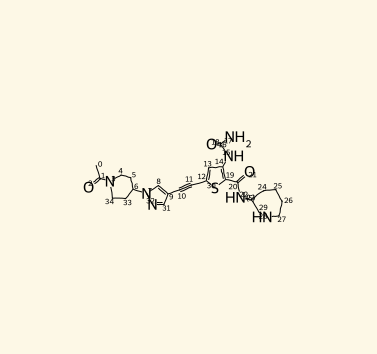 CC(=O)N1CCC(n2cc(C#Cc3cc(NC(N)=O)c(C(=O)N[C@H]4CCCCNC4)s3)cn2)CC1